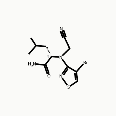 CC(C)C[C@@H](C(N)=O)N(CC#N)c1nscc1Br